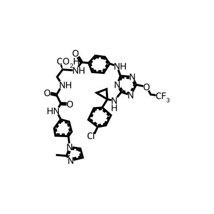 Cc1nccn1-c1ccc(NC(=O)C(=O)NC[C@H](NC(=O)c2ccc(Nc3nc(NC4(c5ccc(Cl)cc5)CC4)nc(OCC(F)(F)F)n3)cc2)C(=O)O)cc1